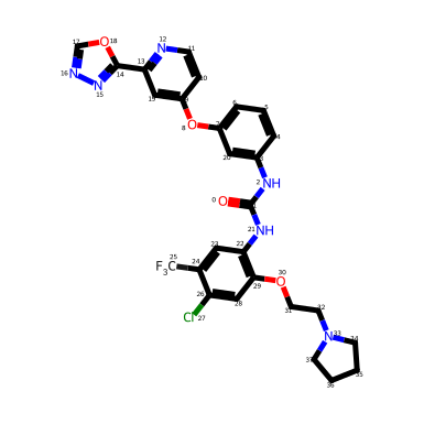 O=C(Nc1cccc(Oc2ccnc(-c3nnco3)c2)c1)Nc1cc(C(F)(F)F)c(Cl)cc1OCCN1CCCC1